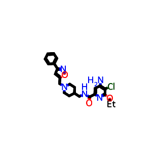 CCOc1nc(C(=O)NCC2CCN(Cc3cc(-c4ccccc4)no3)CC2)cc(N)c1Cl